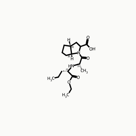 CCC[C@H](N[C@@H](C)C(=O)N1C(C(=O)O)C[C@H]2CCC[C@H]21)C(=O)OCC